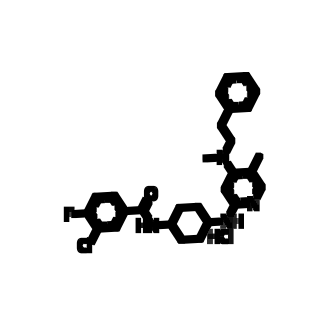 Cc1cnc(NC2CCC(NC(=O)c3ccc(F)c(Cl)c3)CC2)cc1N(C)CCc1ccccc1.Cl